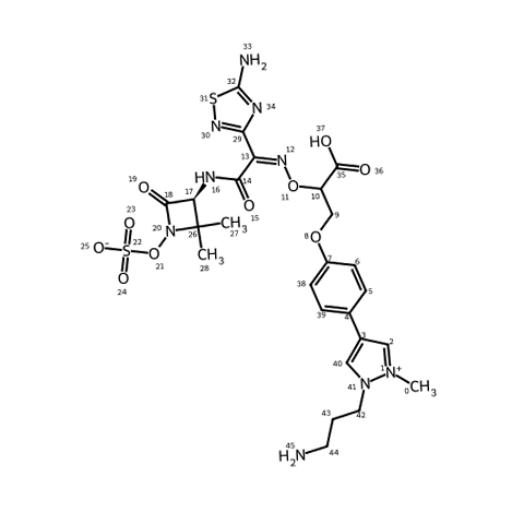 C[n+]1cc(-c2ccc(OCC(O/N=C(\C(=O)N[C@@H]3C(=O)N(OS(=O)(=O)[O-])C3(C)C)c3nsc(N)n3)C(=O)O)cc2)cn1CCCN